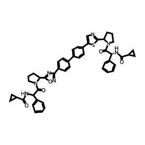 O=C(NC(C(=O)N1CCCC1c1nc(-c2ccc(-c3ccc(-c4cnc(C5CCCN5C(=O)[C@H](NC(=O)C5CC5)c5ccccc5)s4)cc3)cc2)no1)c1ccccc1)C1CC1